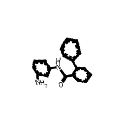 Nc1cccc(NC(=O)c2ccccc2-c2ccccc2)c1